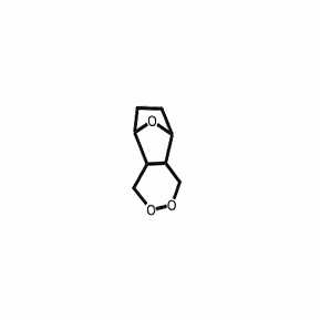 C1CC2OC1C1COOCC21